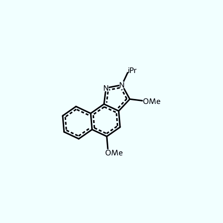 COc1cc2c(OC)n(C(C)C)nc2c2ccccc12